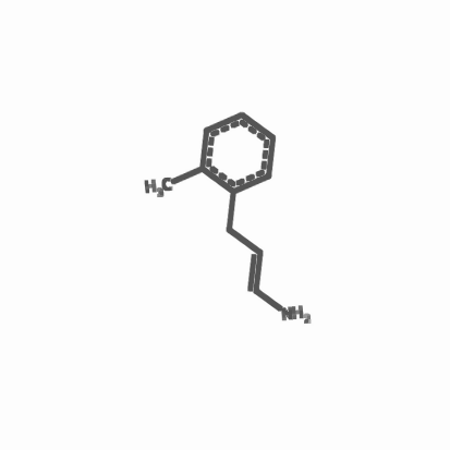 Cc1ccccc1CC=CN